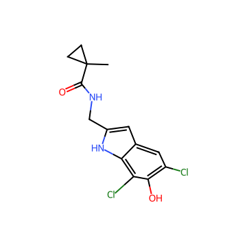 CC1(C(=O)NCc2cc3cc(Cl)c(O)c(Cl)c3[nH]2)CC1